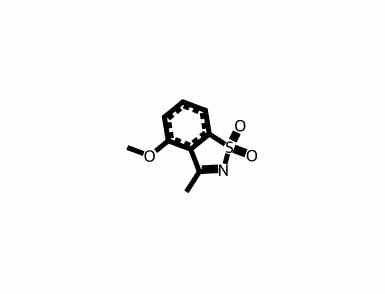 COc1cccc2c1C(C)=NS2(=O)=O